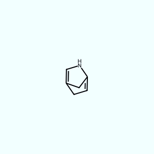 C1=C2CC=C(C2)N1